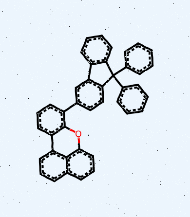 c1ccc(C2(c3ccccc3)c3ccccc3-c3cc(-c4cccc5c4Oc4cccc6cccc-5c46)ccc32)cc1